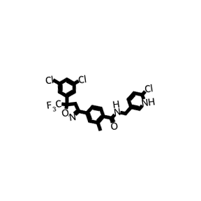 Cc1cc(C2=NOC(c3cc(Cl)cc(Cl)c3)(C(F)(F)F)C2)ccc1C(=O)NCC1=CNC(Cl)C=C1